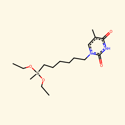 CCO[Si](C)(CCCCCCn1cc(C)c(=O)[nH]c1=O)OCC